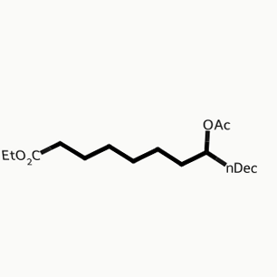 CCCCCCCCCCC(CCCCCCC(=O)OCC)OC(C)=O